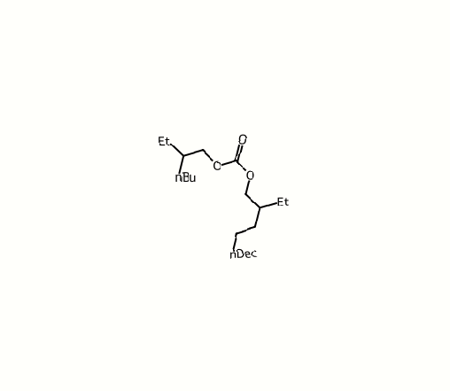 CCCCCCCCCCCCC(CC)COC(=O)OCC(CC)CCCC